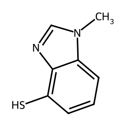 Cn1cnc2c(S)cccc21